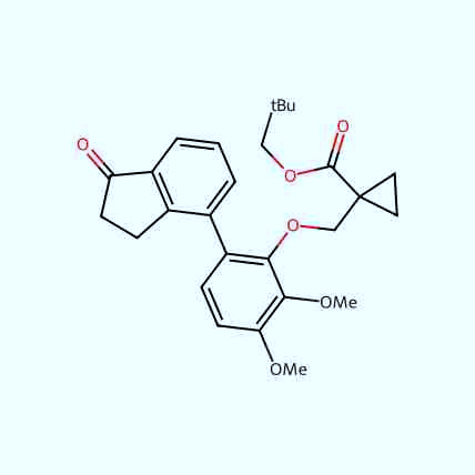 COc1ccc(-c2cccc3c2CCC3=O)c(OCC2(C(=O)OCC(C)(C)C)CC2)c1OC